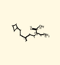 CC(CCC1CCC1)CC[C@H](CN)C(=O)O